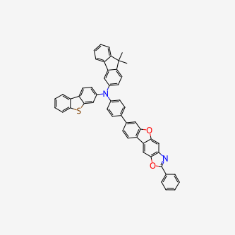 CC1(C)c2ccccc2-c2cc(N(c3ccc(-c4ccc5c(c4)oc4cc6nc(-c7ccccc7)oc6cc45)cc3)c3ccc4c(c3)sc3ccccc34)ccc21